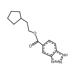 O=C(OCCC1CCCC1)c1ccc2[nH]nnc2c1